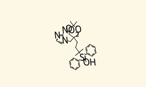 CC1(C)OCC(CCC(C)(C)[Si](O)(c2ccccc2)c2ccccc2)(Cn2ccnc2[N+](=O)[O-])CO1